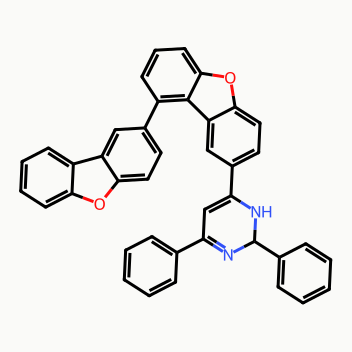 C1=C(c2ccc3oc4cccc(-c5ccc6oc7ccccc7c6c5)c4c3c2)NC(c2ccccc2)N=C1c1ccccc1